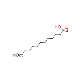 CCCCCCCCCCCCCCCCCCC1(O)CO1